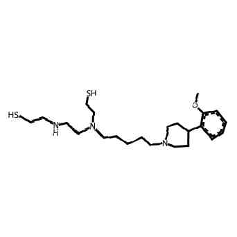 COc1ccccc1C1CCN(CCCCCN(CCS)CCNCCS)CC1